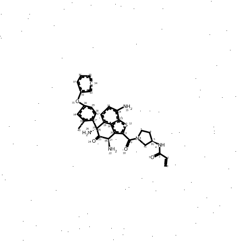 C=CC(=O)N[C@@H]1CCN(C(=O)c2sc3c(N)ccc4c3c2[C@@H](N)C(=O)[C@@]4(N)c2ccc(Oc3ccccc3)cc2C)C1